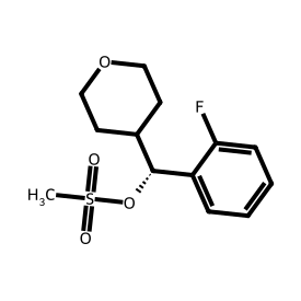 CS(=O)(=O)O[C@@H](c1ccccc1F)C1CCOCC1